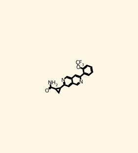 NC(=O)C1CC1c1cc2cnc(-c3ccccc3OC(F)(F)F)cc2cn1